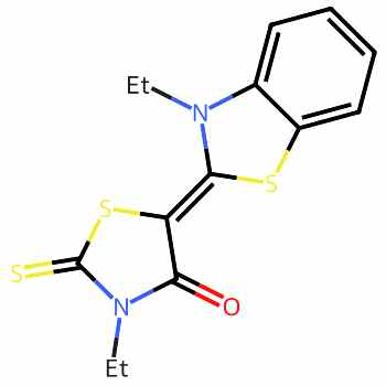 CCN1C(=O)C(=C2Sc3ccccc3N2CC)SC1=S